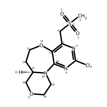 CS(=O)(=O)Cc1nc(Cl)nc2c1OCC[C@@H]1COCCN21